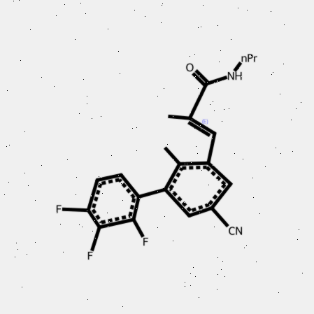 CCCNC(=O)/C(C)=C/c1cc(C#N)cc(-c2ccc(F)c(F)c2F)c1C